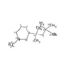 CN1CCCC(C(C)(C)CC(C)(C)C(C)(C)C)C1